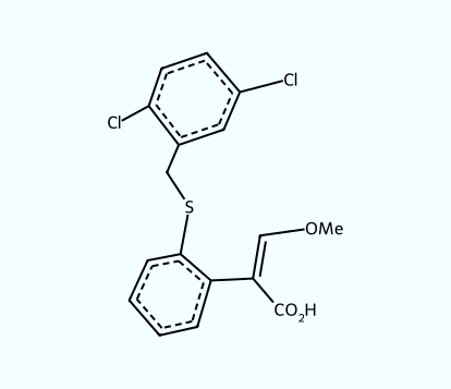 COC=C(C(=O)O)c1ccccc1SCc1cc(Cl)ccc1Cl